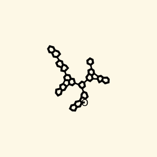 c1ccc(-c2cc3c4c(cc(-c5cc(-c6cc7c8c(cc(-c9ccc%10cc(-c%11ccc%12ccccc%12c%11)ccc%10c9)cc8c6)-c6cc8ccccc8cc6-7)cc(-c6ccc7oc8cc9ccccc9cc8c7c6)c5)cc4c2)-c2cc4ccccc4cc2-3)cc1